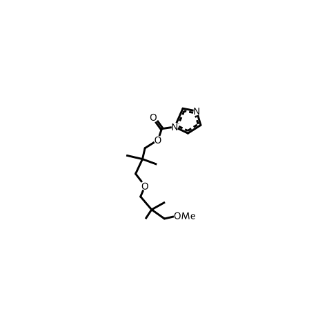 COCC(C)(C)COCC(C)(C)COC(=O)n1ccnc1